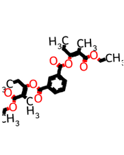 CCOC(=O)C(C)=C(CC)OC(=O)c1cccc(C(=O)OC(CC)=C(C)C(=O)OCC)c1